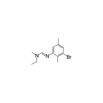 CCN(C)C=Nc1cc(C)cc(Br)c1C